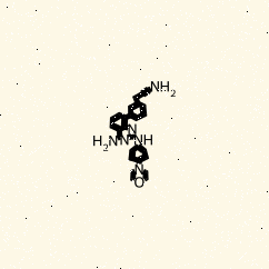 NC#CCc1cccc(-c2cccc3c(N)nc(Nc4ccc(N5CCOCC5)cc4)nc23)c1